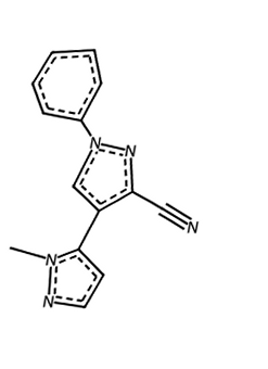 Cn1nccc1-c1cn(-c2ccccc2)nc1C#N